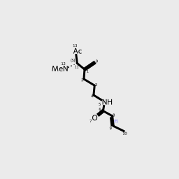 C=C(CCCNC(=O)/C=C/C)[C@H](NC)C(C)=O